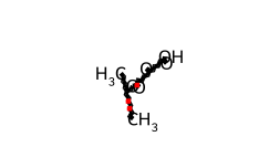 CCCCCCCCC(CCCCC)COC(=O)CCCCC(=O)CCCCC(=O)O